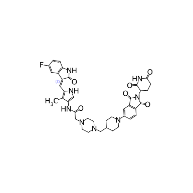 Cc1c(NC(=O)CN2CCN(CC3CCN(c4ccc5c(c4)C(=O)N(C4CCC(=O)NC4=O)C5=O)CC3)CC2)c[nH]c1/C=C1\C(=O)Nc2ccc(F)cc21